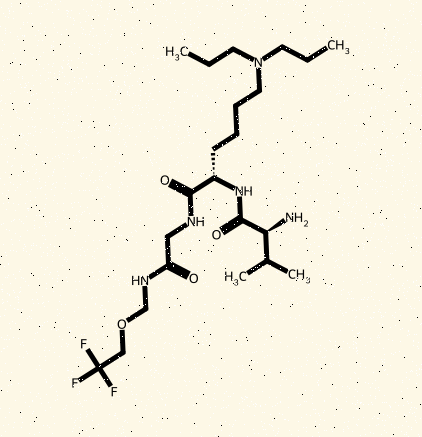 CCCN(CCC)CCCC[C@H](NC(=O)[C@@H](N)C(C)C)C(=O)NCC(=O)NCOCC(F)(F)F